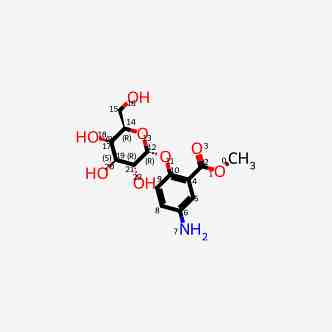 COC(=O)c1cc(N)ccc1O[C@H]1O[C@H](CO)[C@H](O)[C@H](O)[C@H]1O